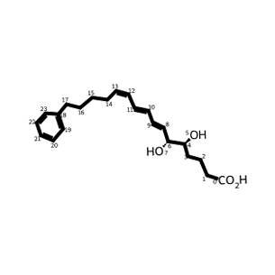 O=C(O)CCC[C@H](O)[C@H](O)/C=C/C=C/C=C\CCCCc1ccccc1